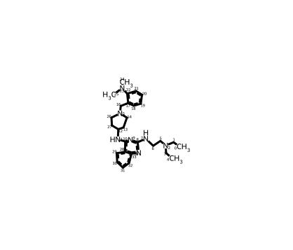 CCN(CC)CCNc1nc(NC2CCN(Cc3ccccc3N(C)C)CC2)c2ccccc2n1